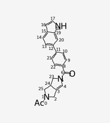 CC(=O)N1CC2=CN(C(=O)c3ccc(-c4ccc5cc[nH]c5c4)cc3)CC2C1